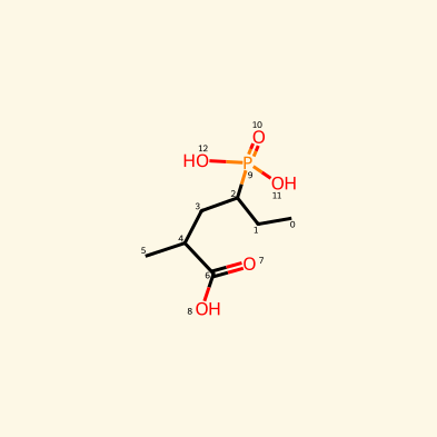 CCC(CC(C)C(=O)O)P(=O)(O)O